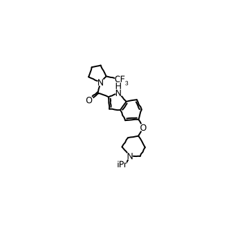 CC(C)N1CCC(Oc2ccc3[nH]c(C(=O)N4CCCC4C(F)(F)F)cc3c2)CC1